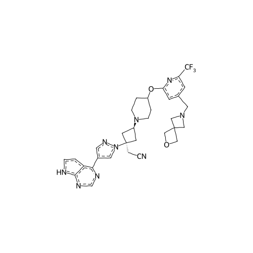 N#CC[C@]1(n2cc(-c3ncnc4[nH]ccc34)cn2)C[C@@H](N2CCC(Oc3cc(CN4CC5(COC5)C4)cc(C(F)(F)F)n3)CC2)C1